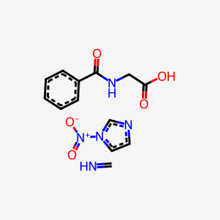 C=N.O=C(O)CNC(=O)c1ccccc1.O=[N+]([O-])n1ccnc1